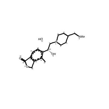 CNCC1CCN(C[C@H](O)c2ccc3c(c2C)COC3=O)CC1.Cl